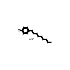 CCCCCCCCCc1ccc([O-])cc1.[Li+]